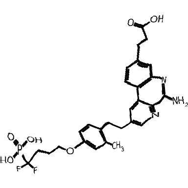 Cc1cc(OCCCC(F)(F)P(=O)(O)O)ccc1CCc1cnc2c(N)nc3cc(CCC(=O)O)ccc3c2c1